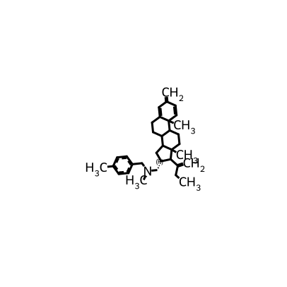 C=C1C=CC2(C)C(=C1)CCC1C2CCC2(C)C1C[C@@H](CN(C)Cc1ccc(C)cc1)C2C(=C)CC